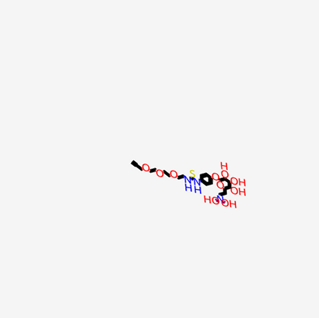 C#CCOCCOCCOCCNC(=S)Nc1ccc(O[C@H]2OC(CCN(O)O)[C@@H](O)C(O)C2O)cc1